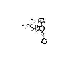 CC(C)Oc1nc2c(OCc3ccccc3)ccc(-c3nccs3)c2o1